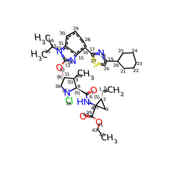 C=C[C@@H]1C[C@]1(NC(=O)[C@@H]1[C@H](C)[C@@H](Oc2nc3c(-c4nc(C5CCCCC5)cs4)cccc3n2C(C)C)CN1Cl)C(=O)OCC